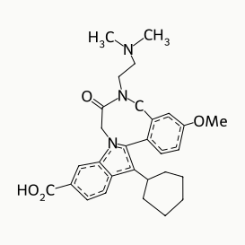 COc1ccc2c(c1)CN(CCN(C)C)C(=O)Cn1c-2c(C2CCCCC2)c2ccc(C(=O)O)cc21